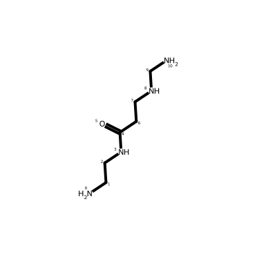 NCCNC(=O)CCNCN